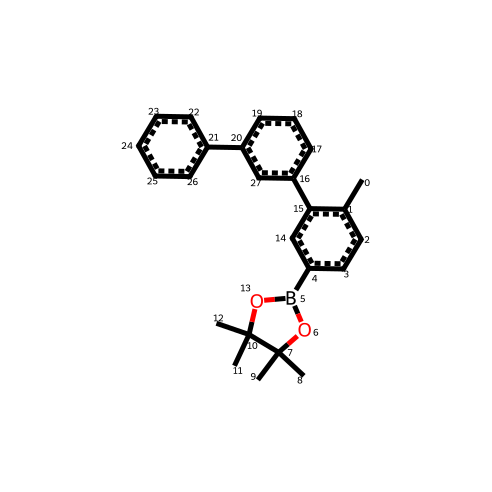 Cc1ccc(B2OC(C)(C)C(C)(C)O2)cc1-c1cccc(-c2ccccc2)c1